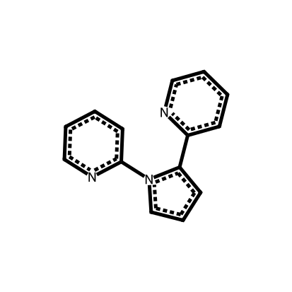 c1ccc(-c2cccn2-c2ccccn2)nc1